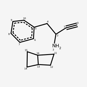 C#CC(N)Cc1ccccc1.C1CC2CCC12